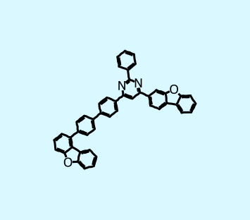 c1ccc(-c2nc(-c3ccc(-c4ccc(-c5cccc6oc7ccccc7c56)cc4)cc3)cc(-c3ccc4c(c3)oc3ccccc34)n2)cc1